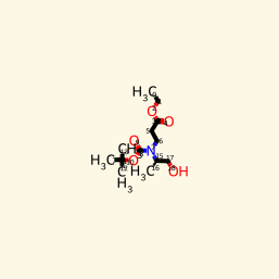 CCOC(=O)CCN(C(=O)OC(C)(C)C)[C@H](C)CO